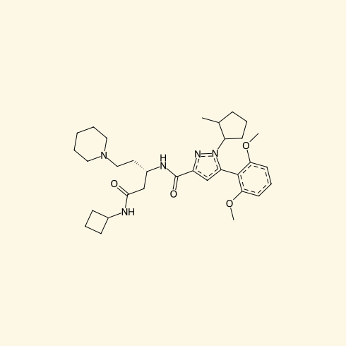 COc1cccc(OC)c1-c1cc(C(=O)N[C@@H](CCN2CCCCC2)CC(=O)NC2CCC2)nn1C1CCCC1C